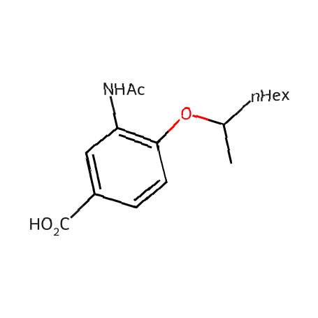 CCCCCCC(C)Oc1ccc(C(=O)O)cc1NC(C)=O